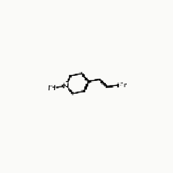 CCN1CCC(CCC(C)C)CC1